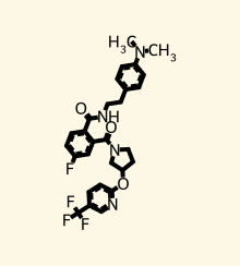 CN(C)c1ccc(CCNC(=O)c2ccc(F)cc2C(=O)N2CCC(Oc3ccc(C(F)(F)F)cn3)C2)cc1